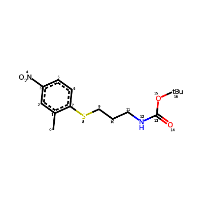 Cc1cc([N+](=O)[O-])ccc1SCCCNC(=O)OC(C)(C)C